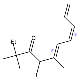 C=C/C=C\C=C(/C)C(I)C(=O)C(C)(C)CC